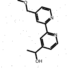 COCc1ccnc(-c2cc(C(C)O)ccn2)c1